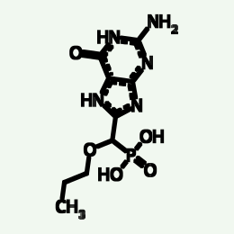 CCCOC(c1nc2nc(N)[nH]c(=O)c2[nH]1)P(=O)(O)O